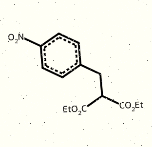 CCOC(=O)C(Cc1ccc([N+](=O)[O-])cc1)C(=O)OCC